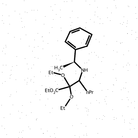 CCCC(N[C@@H](C)c1ccccc1)C(OCC)(OCC)C(=O)OCC